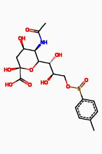 CC(=O)N[C@H]1C([C@H](O)[C@H](O)COS(=O)c2ccc(C)cc2)O[C@](O)(C(=O)O)C[C@H]1O